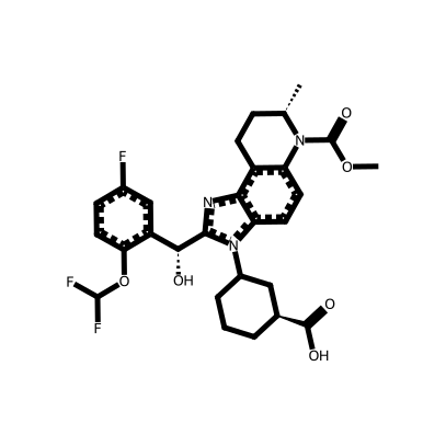 COC(=O)N1c2ccc3c(nc([C@H](O)c4cc(F)ccc4OC(F)F)n3C3CCC[C@H](C(=O)O)C3)c2CC[C@@H]1C